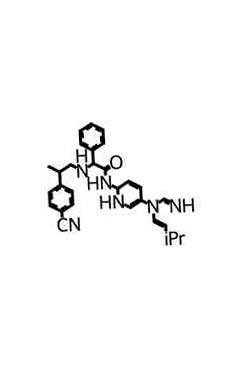 CC(C)/C=C/N(C=N)C1=CNC(NC(=O)C(NCC(C)c2ccc(C#N)cc2)c2ccccc2)C=C1